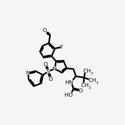 CC(C)(C)C(Cc1cc(-c2cccc(C=O)c2F)n(S(=O)(=O)c2cccnc2)c1)NC(=O)O